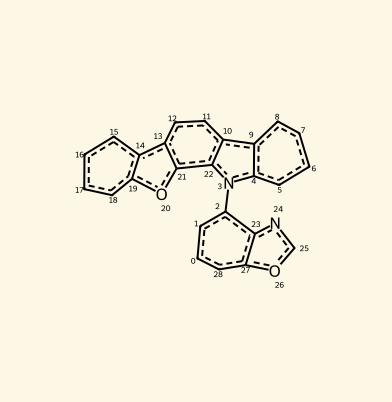 c1cc(-n2c3ccccc3c3ccc4c5ccccc5oc4c32)c2ncoc2c1